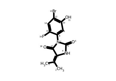 CC(C)=C1NC(=O)N(c2cc(O)c(Br)cc2F)C1=O